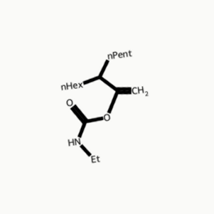 C=C(OC(=O)NCC)C(CCCCC)CCCCCC